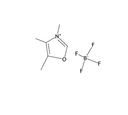 Cc1oc[n+](C)c1C.F[B-](F)(F)F